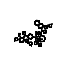 COCOc1cc2ccccc2cc1C(=O)NC1CCCC[N+](OC(=O)c2ccc(C(=O)c3c(OCOC)ccc(OC)c3F)cc2)(C(=O)[O-])C1